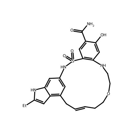 CCc1cc2c3cc(cc2[nH]1)NS(=O)(=O)c1cc(C(N)=O)c(O)cc1NCCOCC/C=C/C3